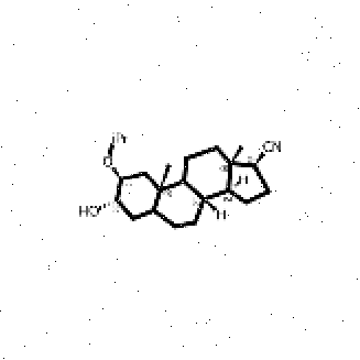 CC(C)O[C@H]1C[C@@]2(C)C(CC[C@@H]3C2CC[C@]2(C)[C@@H](C#N)CC[C@@H]32)C[C@@H]1O